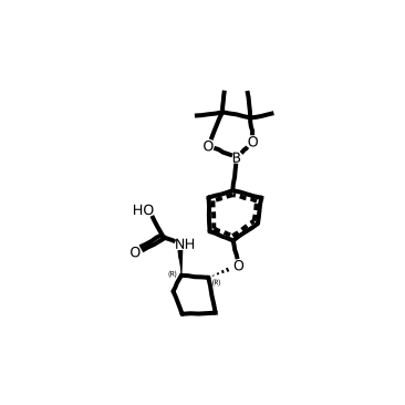 CC1(C)OB(c2ccc(O[C@@H]3CCC[C@H]3NC(=O)O)cc2)OC1(C)C